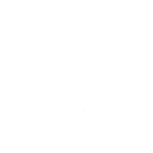 CC(=O)O[C]1CC=CS1